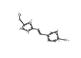 ClCc1nnc(/C=C/c2ccc(Cl)cc2)o1